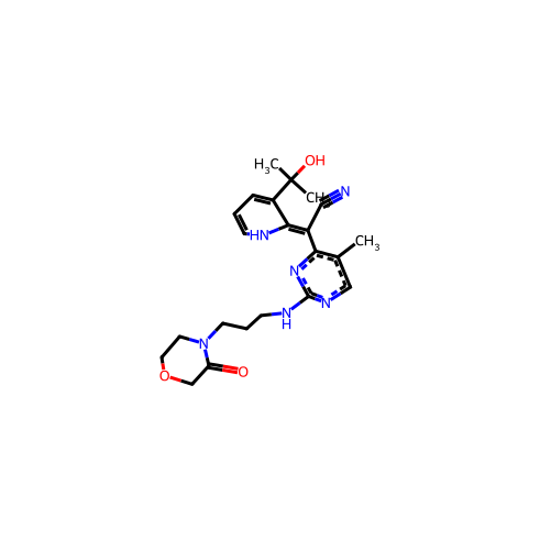 Cc1cnc(NCCCN2CCOCC2=O)nc1/C(C#N)=C1\NC=CC=C1C(C)(C)O